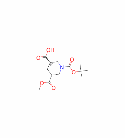 COC(=O)C1C[C@@H](C(=O)O)CN(C(=O)OC(C)(C)C)C1